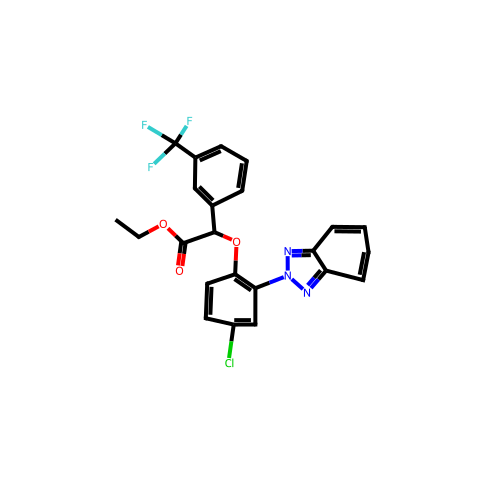 CCOC(=O)C(Oc1ccc(Cl)cc1-n1nc2ccccc2n1)c1cccc(C(F)(F)F)c1